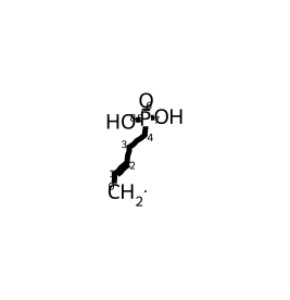 [CH2]/C=C/CCP(=O)(O)O